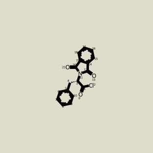 O=C(Cl)[C@H](Cc1ccccc1)N1C(=O)c2ccccc2C1=O